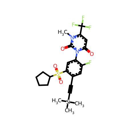 Cn1c(C(F)(F)F)cc(=O)n(-c2cc(S(=O)(=O)C3CCCC3)c(C#C[Si](C)(C)C)cc2F)c1=O